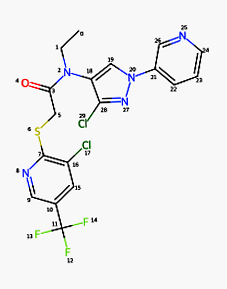 CCN(C(=O)CSc1ncc(C(F)(F)F)cc1Cl)c1cn(-c2cccnc2)nc1Cl